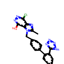 Cc1nc2c(Cl)nnc(O)c2n1Cc1ccc(-c2ccccc2-c2nnn[nH]2)cc1